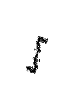 O=C(CCOCCOCCC(=O)NCc1ccc(-c2cnc(C3CN(C(=O)c4ccc(NC(=O)[C@@H]5CCCN5)s4)C3)s2)cc1)NCc1ccc(-c2cnc(C3CN(C(=O)c4ccc(NC(=O)[C@@H]5CCCN5)s4)C3)s2)cc1